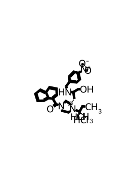 CCC(C)N1CCN(C(=O)c2cccc3ccccc23)C[C@@H]1CC(CO)NCc1ccc([N+](=O)[O-])cc1.Cl.Cl